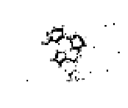 CNCC[C@@H](Oc1cccc(-c2ccnc(C)c2)c1)c1cccs1